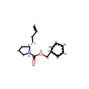 C=CCC[C@H]1CCCN1C(=O)OCc1ccccc1